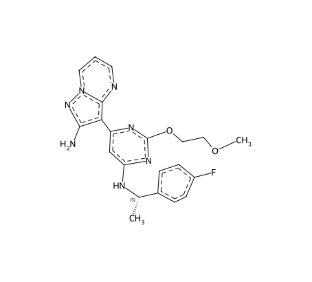 COCCOc1nc(N[C@@H](C)c2ccc(F)cc2)cc(-c2c(N)nn3cccnc23)n1